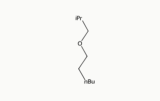 CCCCCCOCC(C)C